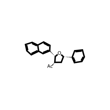 CC(=O)[C@H]1C[C@@H](c2ccccc2)O[C@H]1c1ccc2ccccc2c1